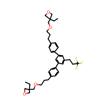 CCC1(COCCCc2ccc(-c3cc(CCC(F)(F)F)cc(-c4ccc(CCCOCC5(CC)COC5)cc4)c3)cc2)COC1